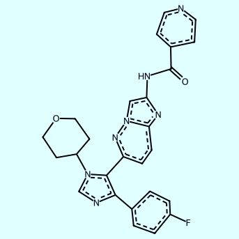 O=C(Nc1cn2nc(-c3c(-c4ccc(F)cc4)ncn3C3CCOCC3)ccc2n1)c1ccncc1